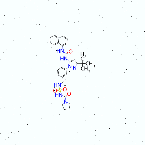 CC(C)(C)c1cc(NC(=O)Nc2cccc3ccccc23)n(-c2cccc(CNS(=O)(=O)NC(=O)N3CCCC3)c2)n1